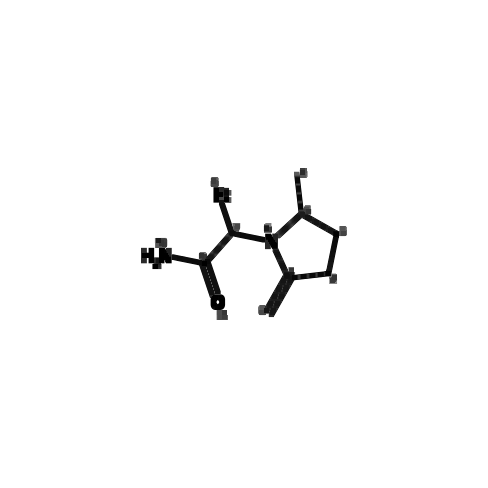 C=C1CCC(C)N1C(CC)C(N)=O